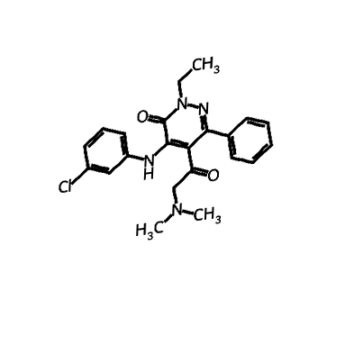 CCn1nc(-c2ccccc2)c(C(=O)CN(C)C)c(Nc2cccc(Cl)c2)c1=O